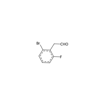 O=CCc1c(F)cccc1Br